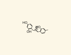 Cc1ccc(/C=[N+](\[O-])Cc2ccc(O)cc2O)c(O)c1